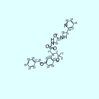 CC1(C)CC(CS(=O)(=O)NCC(=O)NCCc2ccccn2)c2cc(OCc3ccccc3)ccc2O1